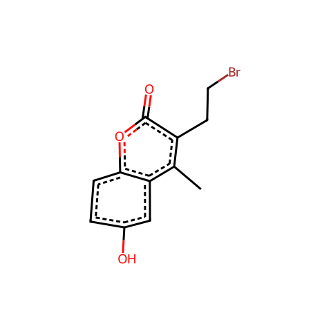 Cc1c(CCBr)c(=O)oc2ccc(O)cc12